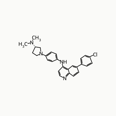 CN(C)[C@H]1CCN(c2ccc(Nc3ccnc4ccc(-c5ccc(Cl)cc5)cc34)cc2)C1